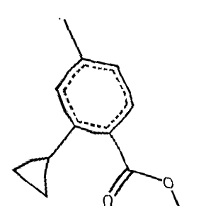 [CH2]c1ccc(C(=O)OC)c(C2CC2)c1